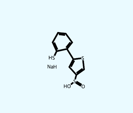 O=S(O)c1csc(-c2ccccc2S)c1.[NaH]